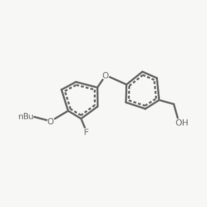 CCCCOc1ccc(Oc2ccc(CO)cc2)cc1F